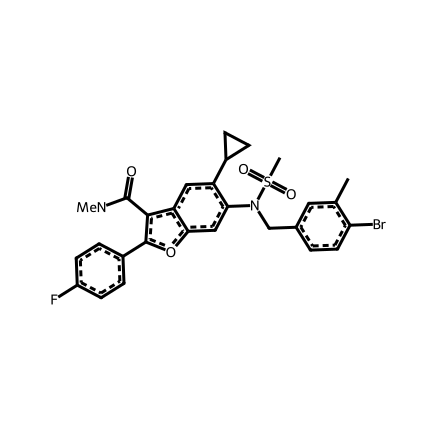 CNC(=O)c1c(-c2ccc(F)cc2)oc2cc(N(Cc3ccc(Br)c(C)c3)S(C)(=O)=O)c(C3CC3)cc12